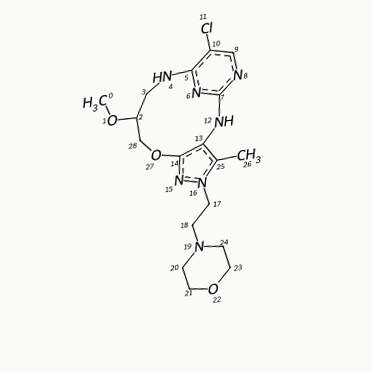 COC1CNc2nc(ncc2Cl)Nc2c(nn(CCN3CCOCC3)c2C)OC1